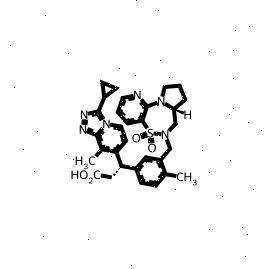 Cc1ccc([C@H](CC(=O)O)c2ccn3c(C4CC4)nnc3c2C)cc1CN1C[C@H]2CCCN2c2ncccc2S1(=O)=O